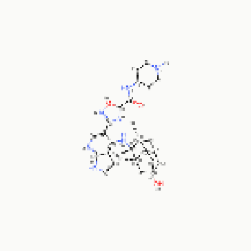 CN1CCC(NC(=O)c2nc(-c3cnc4[nH]ccc4c3N[C@H]3[C@@H]4CC5C[C@H]3C[C@@](O)(C5)C4)no2)CC1